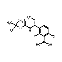 CC[C@@H](NC(=O)OC(C)(C)C)c1ccc(Cl)c(B(O)O)c1F